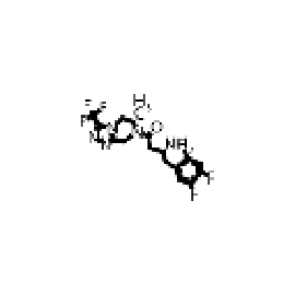 C[C@@H]1Cn2c(nnc2C(F)(F)F)CN1C(=O)C[C@H](N)Cc1cc(F)c(F)cc1F